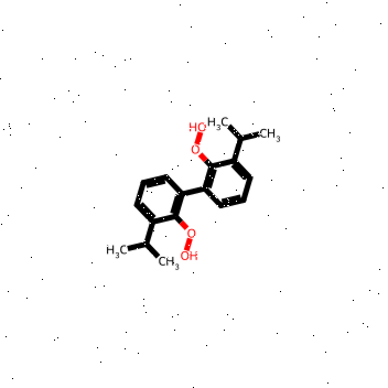 CC(C)c1cccc(-c2cccc(C(C)C)c2OO)c1OO